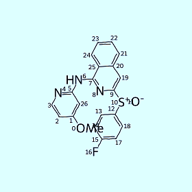 COc1ccnc(Nc2nc([S+]([O-])c3ccc(F)cc3)cc3ccccc23)c1